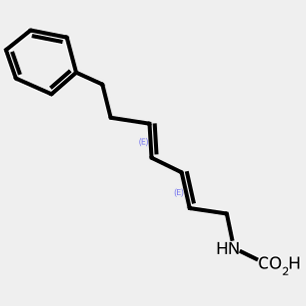 O=C(O)NC/C=C/C=C/CCc1ccccc1